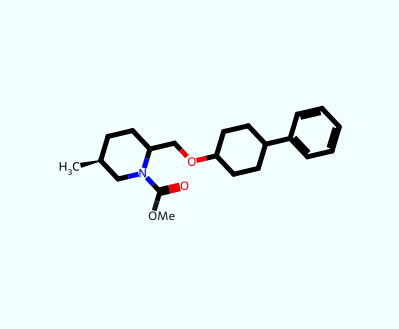 COC(=O)N1C[C@@H](C)CCC1COC1CCC(c2ccccc2)CC1